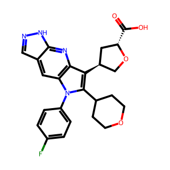 O=C(O)[C@H]1C[C@H](c2c(C3CCOCC3)n(-c3ccc(F)cc3)c3cc4cn[nH]c4nc23)CO1